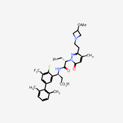 COC1CN(CCc2nn([C@@H](CC(C)C)C(=O)N[C@@H](CC(=O)O)c3cc(-c4c(C)cccc4C)cc(C(F)(F)F)c3F)c(=O)cc2C)C1